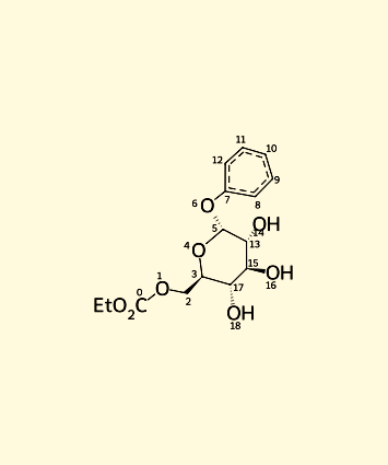 CCOC(=O)OC[C@H]1O[C@H](Oc2ccccc2)[C@H](O)[C@@H](O)[C@@H]1O